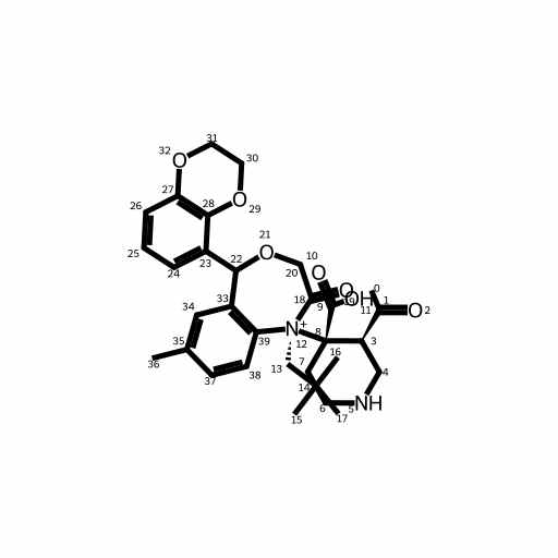 CC(=O)[C@H]1CNCC[C@]1(C(=O)O)[N@+]1(CC(C)(C)C)C(=O)COC(c2cccc3c2OCCO3)c2cc(C)ccc21